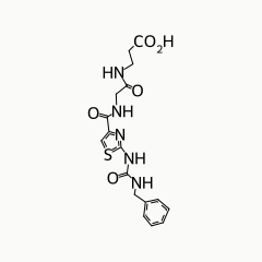 O=C(O)CCNC(=O)CNC(=O)c1csc(NC(=O)NCc2ccccc2)n1